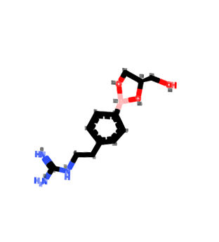 N=C(N)NCCc1ccc(B2OC[C@@H](CO)O2)cc1